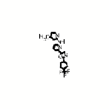 Cc1ccnc(Nc2cccc(-c3cnc(-c4ccc(C(F)(F)F)cc4)o3)n2)c1